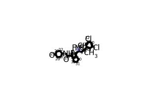 C/N=C(\C[C@@](C)(c1cc(Cl)cc(Cl)c1)C(F)(F)F)c1sc(C(=O)NC2CCC(=O)CC2)c2c1CCC2